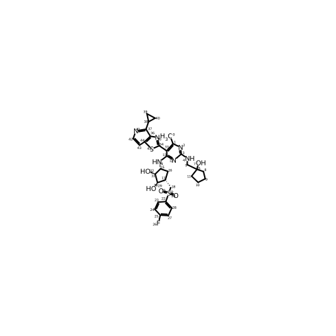 Cc1nc(NCC2(O)CCCC2)nc(N[C@@H]2C[C@H](CS(=O)(=O)c3ccc(F)cc3)[C@@H](O)[C@H]2O)c1-c1nc2c(C3CC3)nccc2s1